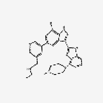 CCNCc1cncc(-c2cc(F)c3[nH]nc(-c4nc5c(N6CCN(C)CC6)ccnc5[nH]4)c3c2)c1